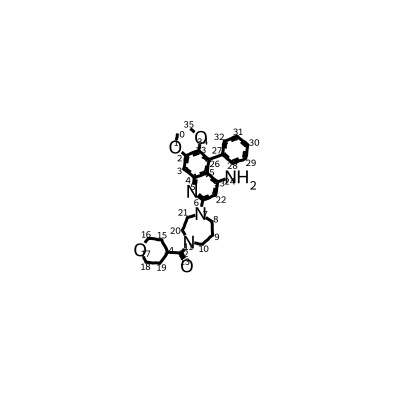 COc1cc2nc(N3CCCN(C(=O)C4CCOCC4)CC3)cc(N)c2c(-c2ccccc2)c1OC